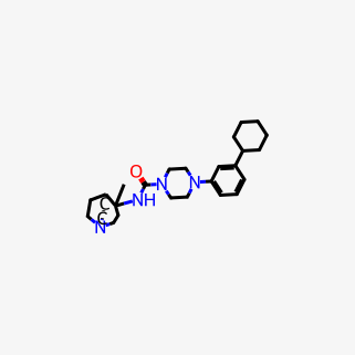 CC1(NC(=O)N2CCN(c3cccc(C4CCCCC4)c3)CC2)CCN2CCC1CC2